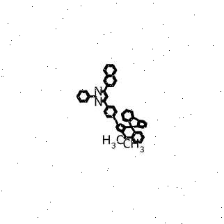 CC1(C)c2ccccc2C2(c3ccccc3-c3ccccc32)c2cc(-c3ccc(-c4cc(-c5ccc6ccccc6c5)nc(-c5ccccc5)n4)cc3)ccc21